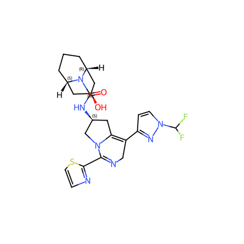 O=C(N[C@H]1CC2=C(c3ccn(C(F)F)n3)CN=C(c3nccs3)N2C1)N1[C@@H]2CCC[C@H]1C[C@H](O)C2